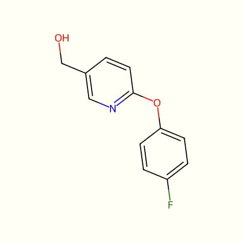 OCc1ccc(Oc2ccc(F)cc2)nc1